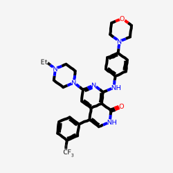 CCN1CCN(c2cc3c(-c4cccc(C(F)(F)F)c4)c[nH]c(=O)c3c(Nc3ccc(N4CCOCC4)cc3)n2)CC1